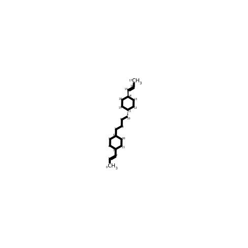 CC=CC1CCC(CCCC[C@H]2CC[C@H](C=CC)CC2)CC1